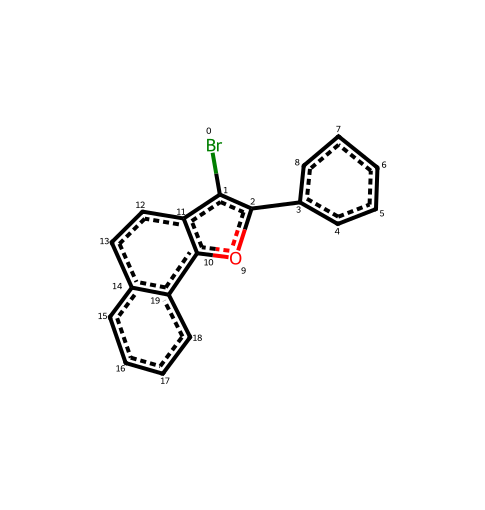 Brc1c(-c2ccccc2)oc2c1ccc1ccccc12